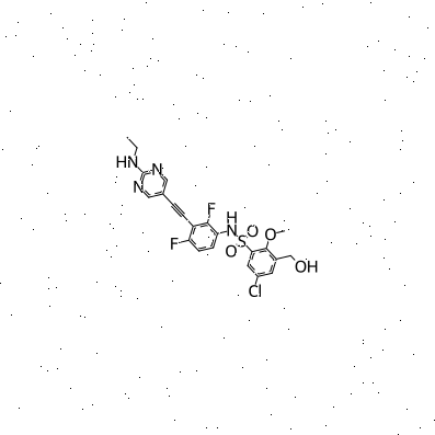 CCNc1ncc(C#Cc2c(F)ccc(NS(=O)(=O)c3cc(Cl)cc(CO)c3OC)c2F)cn1